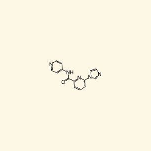 O=C(Nc1ccncc1)c1cccc(-n2ccnc2)n1